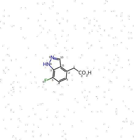 O=C(O)Cc1ccc(F)c2[nH]ncc12